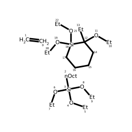 C=C.CCCCCCCC[Si](OCC)(OCC)OCC.CCOC1(CC)CCCC[Si]1(OCC)OCC